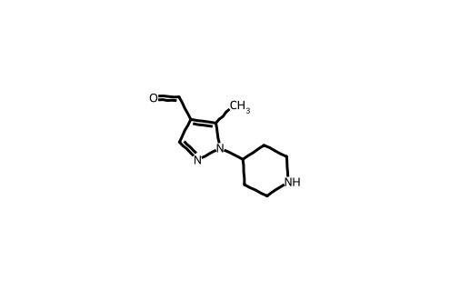 Cc1c(C=O)cnn1C1CCNCC1